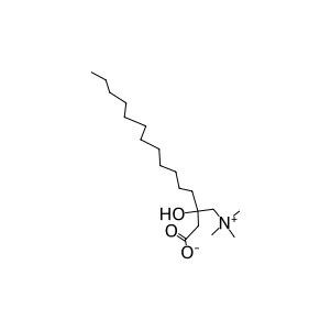 CCCCCCCCCCCCC(O)(CC(=O)[O-])C[N+](C)(C)C